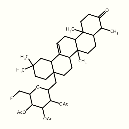 CC(=O)OC1C(CF)OC(CC23CCC4C(=CCC5C4(C)CCC4C(C)C(=O)CCC45C)C2CC(C)(C)CC3)C(OC(C)=O)C1OC(C)=O